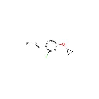 CC(C)/C=C/c1ccc(OC2CC2)cc1F